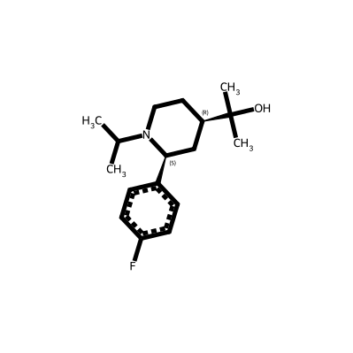 CC(C)N1CC[C@@H](C(C)(C)O)C[C@H]1c1ccc(F)cc1